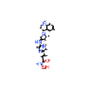 CN(C)c1ccccc1CN1CC[C@@H](Nc2cnc(/C=C/C(=O)NO)cn2)C1